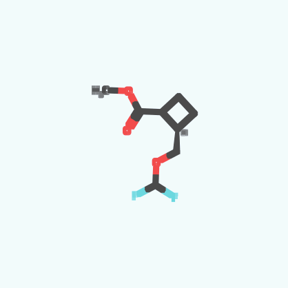 COC(=O)C1CC[C@H]1COC(F)F